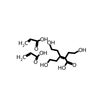 C=CC(=O)O.C=CC(=O)O.O=C(O)C(CCO)=C(CCO)CCO